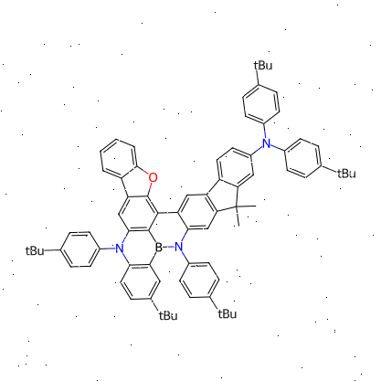 CC(C)(C)c1ccc(N2B3c4cc(C(C)(C)C)ccc4N(c4ccc(C(C)(C)C)cc4)c4cc5c(oc6ccccc65)c(c43)-c3cc4c(cc32)C(C)(C)c2cc(N(c3ccc(C(C)(C)C)cc3)c3ccc(C(C)(C)C)cc3)ccc2-4)cc1